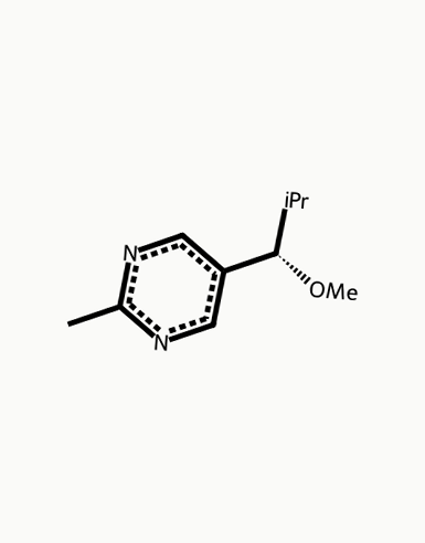 CO[C@H](c1cnc(C)nc1)C(C)C